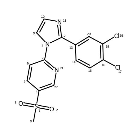 CS(=O)(=O)c1ccc(-n2ccnc2-c2ccc(Cl)c(Cl)c2)nc1